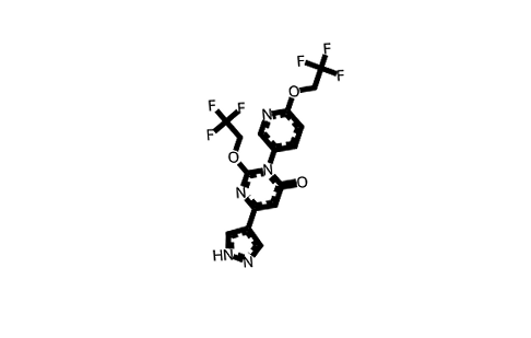 O=c1cc(-c2cn[nH]c2)nc(OCC(F)(F)F)n1-c1ccc(OCC(F)(F)F)nc1